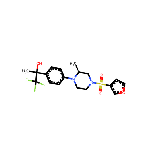 C[C@H]1CN(S(=O)(=O)c2ccoc2)CCN1c1ccc(C(C)(O)C(F)(F)F)cc1